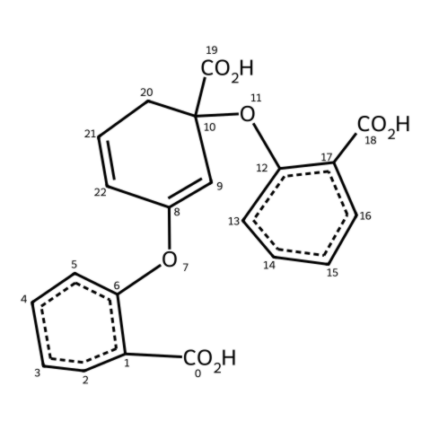 O=C(O)c1ccccc1OC1=CC(Oc2ccccc2C(=O)O)(C(=O)O)CC=C1